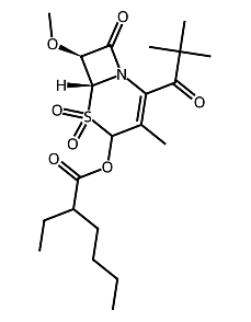 CCCCC(CC)C(=O)OC1C(C)=C(C(=O)C(C)(C)C)N2C(=O)[C@H](OC)[C@H]2S1(=O)=O